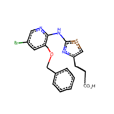 O=C(O)CCc1csc(Nc2ncc(Br)cc2OCc2ccccc2)n1